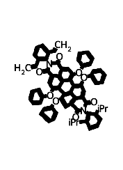 C=Cc1cccc(C=C)c1N1C(=O)c2cc(Oc3ccccc3)c3c4c(Oc5ccccc5)cc5c6c(cc(Oc7ccccc7)c(c7c(Oc8ccccc8)cc(c2c37)C1=O)c64)C(=O)N(c1c(C(C)C)cccc1C(C)C)C5=O